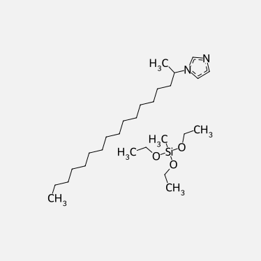 CCCCCCCCCCCCCCCC(C)n1ccnc1.CCO[Si](C)(OCC)OCC